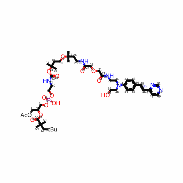 CC(=O)OCC(COP(=O)(O)OCCNC(=O)OC(C)(C)CCOC(C)(C)CCNC(=O)COCC(=O)NCCN(CCO)c1ccc(/C=C/c2ccncn2)cc1)OC(=O)C(C)(C)CC(C)(C)C